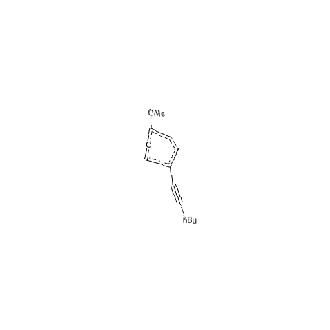 CCCCC#Cc1ccc(OC)cc1